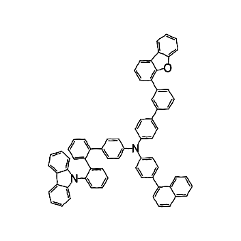 c1cc(-c2ccc(N(c3ccc(-c4ccccc4-c4ccccc4-n4c5ccccc5c5ccccc54)cc3)c3ccc(-c4cccc5ccccc45)cc3)cc2)cc(-c2cccc3c2oc2ccccc23)c1